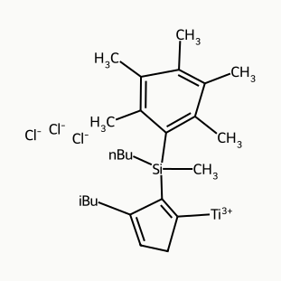 CCCC[Si](C)(C1=[C]([Ti+3])CC=C1C(C)CC)c1c(C)c(C)c(C)c(C)c1C.[Cl-].[Cl-].[Cl-]